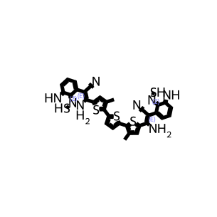 Cc1cc(/C(N)=C(\C#N)C2=CC=CC(=N)/C2=N\S)sc1-c1ccc(-c2sc(/C(N)=C(\C#N)C3=CC=CC(=N)/C3=N\S)cc2C)s1